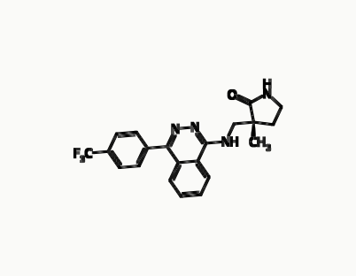 C[C@]1(CNc2nnc(-c3ccc(C(F)(F)F)cc3)c3ccccc23)CCNC1=O